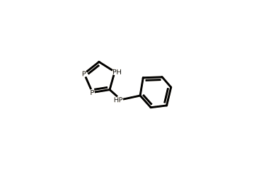 c1ccc(Pc2ppc[pH]2)cc1